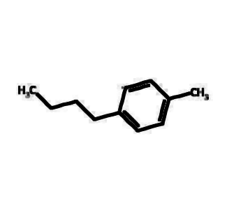 CCCCc1[c]cc(C)cc1